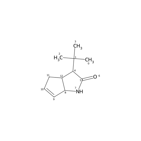 CC(C)(C)C1C(=O)NC2C=CCC21